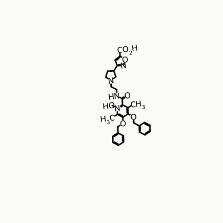 Cc1c(OCc2ccccc2)c(OCc2ccccc2)c(C)[n+](O)c1C(=O)NCCN1CCC(c2cc(C(=O)O)on2)C1